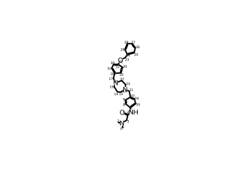 CN(C)CC(=O)Nc1ccc(CN2CCCN(Cc3ccc(OCc4ccccc4)cc3)CC2)cc1